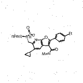 CCCCCN(Cc1nc2oc(-c3ccc(CC)cc3)c(C(=O)NC)c2cc1C1CC1)[SH](=O)=O